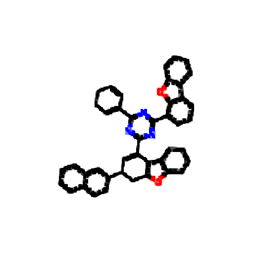 C1=CC(c2nc(C3=CC(c4ccc5ccccc5c4)Cc4oc5ccccc5c43)nc(-c3cccc4c3oc3ccccc34)n2)=CCC1